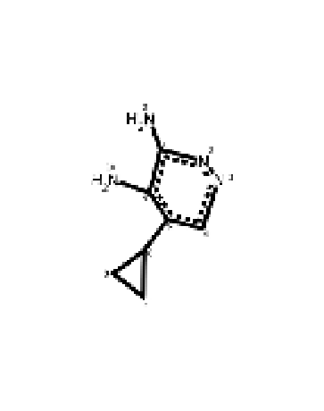 Nc1nncc(C2CC2)c1N